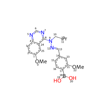 COc1ccc2ncnc(N(CC(C)C)/N=C/c3ccc(B(O)O)c(OC)c3)c2c1